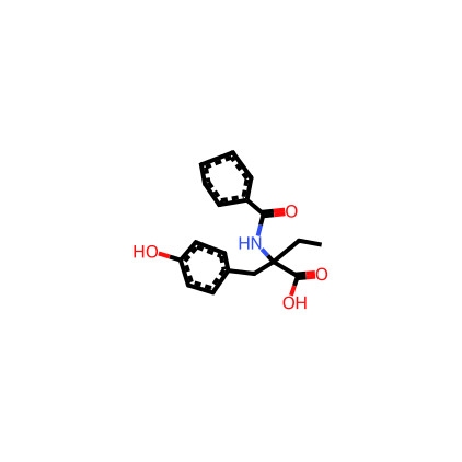 CCC(Cc1ccc(O)cc1)(NC(=O)c1ccccc1)C(=O)O